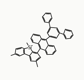 Cc1ccc2c(c1)-c1cc(C)cc(-c3c4ccccc4c(-c4cc(-c5ccccc5)cc(-c5ccccc5)c4)c4ccccc34)c1[Si]2(C)C